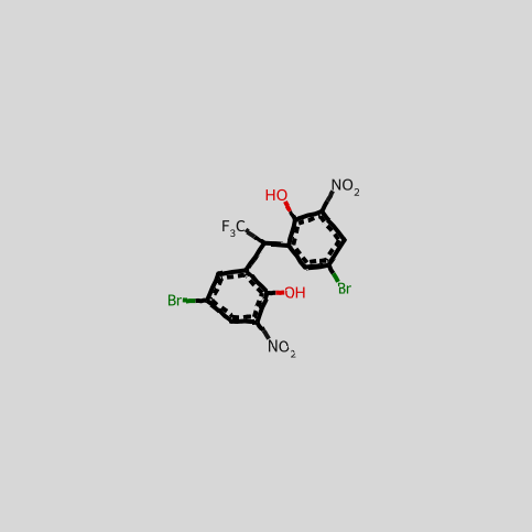 O=[N+]([O-])c1cc(Br)cc(C(c2cc(Br)cc([N+](=O)[O-])c2O)C(F)(F)F)c1O